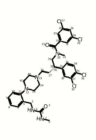 CNC(=O)NCc1ccccc1N1CCN(CC[C@H](CN(C)C(=O)c2cc(Cl)cc(Cl)c2)c2ccc(Cl)c(Cl)c2)CC1